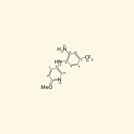 COc1ccc(Nc2ccc(C(F)(F)F)cc2N)cn1